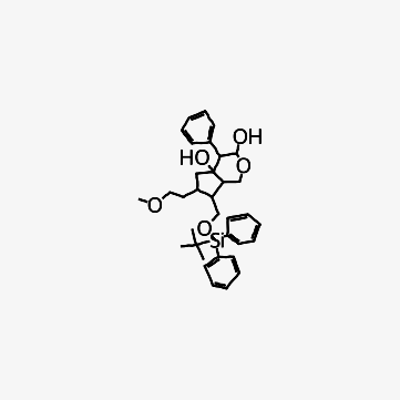 COCCC1CC2(O)C(COC(O)C2c2ccccc2)C1CO[Si](c1ccccc1)(c1ccccc1)C(C)(C)C